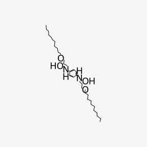 CCCCCCCCCCCOCC(O)CNc1ccc(NCC(O)COCCCCCCCCCCC)cc1